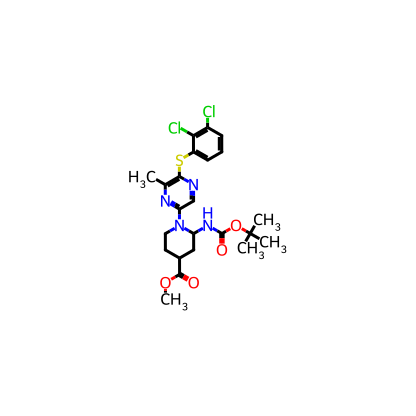 COC(=O)C1CCN(c2cnc(Sc3cccc(Cl)c3Cl)c(C)n2)C(NC(=O)OC(C)(C)C)C1